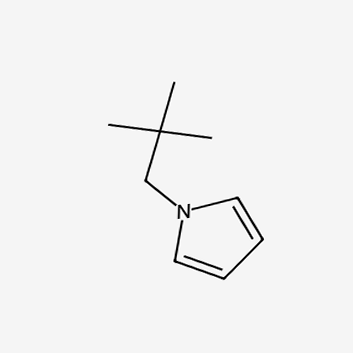 CC(C)(C)Cn1cccc1